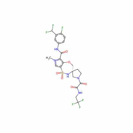 Cn1cc2c(c1C(=O)Nc1ccc(F)c(C(F)F)c1)OC[C@@]1(CCN(C(=O)C(=O)NCC(F)(F)F)C1)NS2(=O)=O